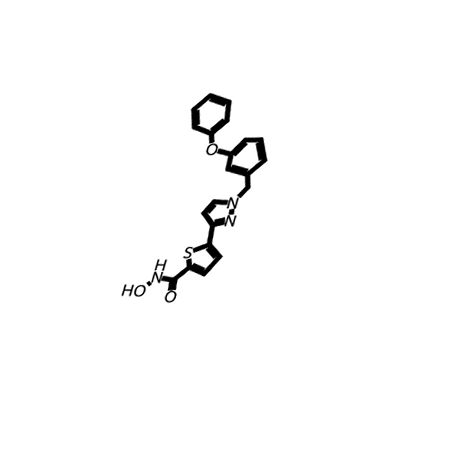 O=C(NO)c1ccc(-c2ccn(Cc3cccc(Oc4ccccc4)c3)n2)s1